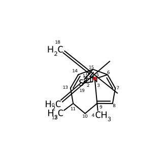 C=C1/C=C(\C)N/C2=C/C=C/CC(C)/C=C\C2=C/C(=C)S1